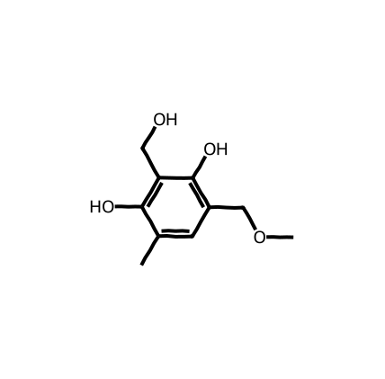 COCc1cc(C)c(O)c(CO)c1O